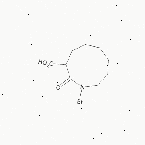 CCN1CCCCCCC(C(=O)O)C1=O